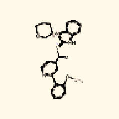 COc1ccccc1-c1cc(C(=O)/N=c2\[nH]c3ccccc3n2[C@@H]2CCCOC2)ccn1